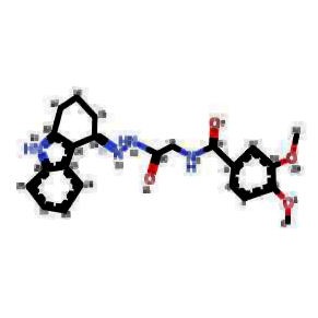 COc1ccc(C(=O)NCC(=O)N/N=C2\CCCc3[nH]c4ccccc4c32)cc1OC